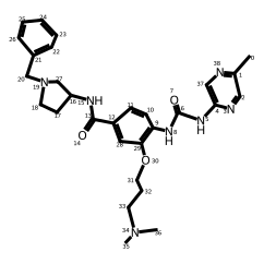 Cc1cnc(NC(=O)Nc2ccc(C(=O)NC3CCN(Cc4ccccc4)C3)cc2OCCCN(C)C)cn1